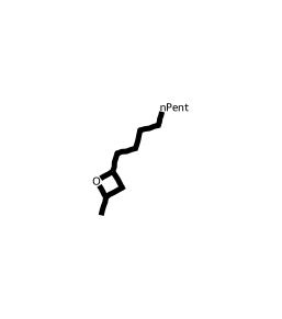 CCCCCCCCC[C]1CC(C)O1